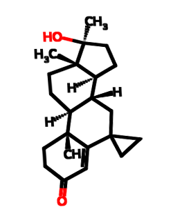 C[C@]12CCC(=O)C=C1C1(CC1)C[C@@H]1[C@@H]2CC[C@@]2(C)[C@H]1CC[C@]2(C)O